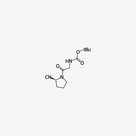 [C-]#[N+][C@@H]1CCCN1C(=O)CNC(=O)OC(C)(C)C